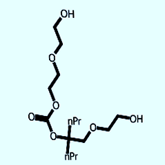 CCCC(CCC)(COCCO)OC(=O)OCCOCCO